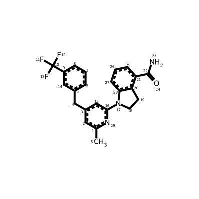 Cc1cc(Cc2cccc(C(F)(F)F)c2)cc(N2CCc3c(C(N)=O)cccc32)n1